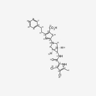 Cc1[nH]c(C(=O)NC2[C@H]3CN(c4nc(CCc5ccncc5)c(C(=O)O)s4)C[C@@H]23)c(Cl)c1Cl